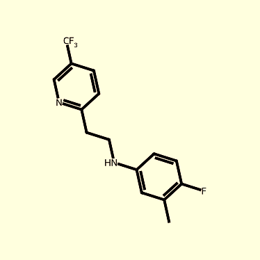 Cc1cc(NCCc2ccc(C(F)(F)F)cn2)ccc1F